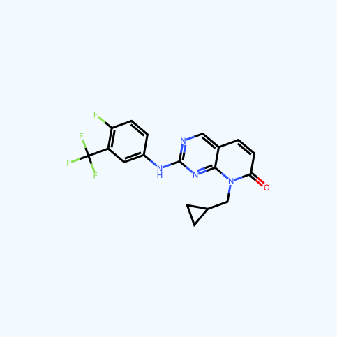 O=c1ccc2cnc(Nc3ccc(F)c(C(F)(F)F)c3)nc2n1CC1CC1